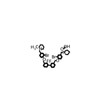 C[C@@H]1CCCCN1Cc1ccc(OCc2cccc(-c3cccc(COc4ccc(CN5CCCC[C@H]5C(=O)O)cc4Br)c3F)c2F)c(Br)c1